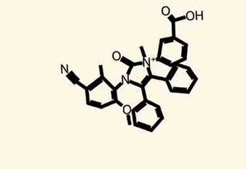 COc1ccc(C#N)c(C)c1N1C(=O)[N+](C)(c2cccc(C(=O)O)c2)C(c2ccccc2)=C1c1ccccc1